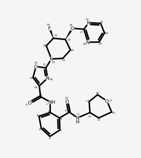 O=C(Nc1ccccc1C(=O)NC1CCOCC1)c1coc(N2CC[C@H](Oc3ncccn3)[C@H](F)C2)n1